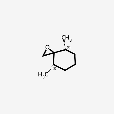 C[C@@H]1CCC[C@H](C)C12CO2